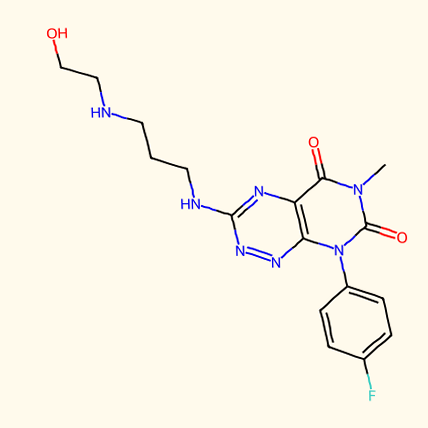 Cn1c(=O)c2nc(NCCCNCCO)nnc2n(-c2ccc(F)cc2)c1=O